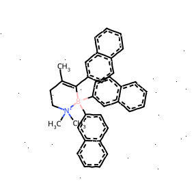 CC1=C(c2ccc3ccccc3c2)[B-](c2ccc3ccccc3c2)(c2ccc3ccccc3c2)[N+](C)(C)CC1